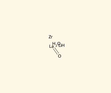 O.[LiH].[O]=[La].[Zr]